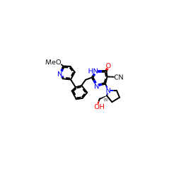 COc1ccc(-c2ccccc2Cc2nc(N3CCC[C@H]3CO)c(C#N)c(=O)[nH]2)cn1